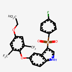 O=C(O)COc1cc(C(F)(F)F)c(Oc2ccc3[nH]cc(S(=O)(=O)c4ccc(F)cc4)c3c2)c(C(F)(F)F)c1